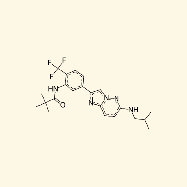 CC(C)CNc1ccc2nc(-c3ccc(C(F)(F)F)c(NC(=O)C(C)(C)C)c3)cn2n1